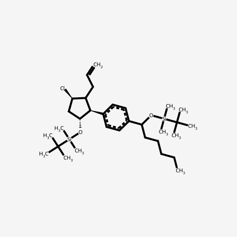 C=CCC1[C@H](Cl)C[C@@H](O[Si](C)(C)C(C)(C)C)[C@@H]1c1ccc(C(CCCCC)O[Si](C)(C)C(C)(C)C)cc1